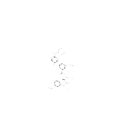 COc1cccc(C(C)NC(=O)C(C)N2Cc3c(OC)cc(-c4nc(NC5CCOCC5)ncc4Cl)cc3C2=O)c1